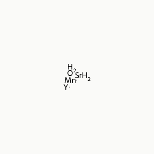 O.[Mn].[SrH2].[Y]